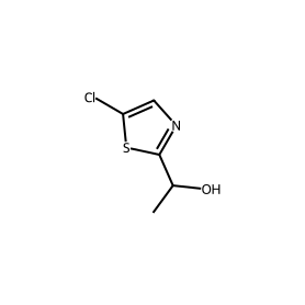 CC(O)c1ncc(Cl)s1